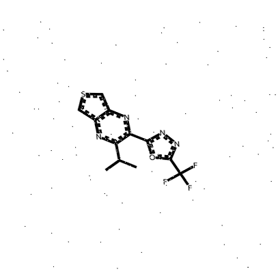 CC(C)c1nc2cscc2nc1-c1nnc(C(F)(F)F)o1